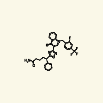 NC(=O)CCCC(c1ccccc1)c1nc(-c2cn(Cc3ccc(C(F)(F)F)cc3F)c3ccccc3c2=O)no1